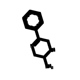 NC1CN=C(c2ccccc2)CN1